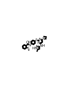 CSc1ccccc1C(=O)Nc1ccc(Sc2nc(Nc3cc(C)[nH]n3)cc(N3CCC3)n2)cc1